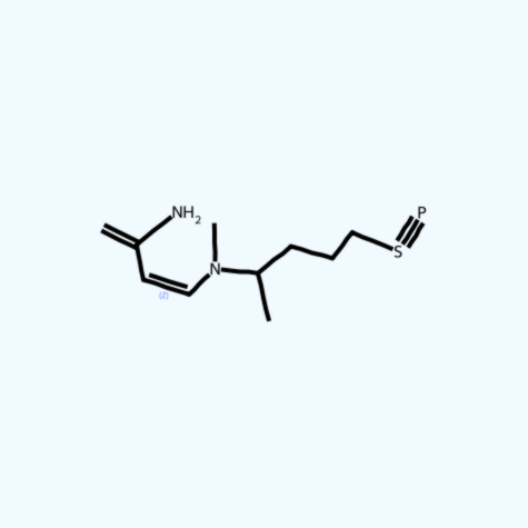 C=C(N)/C=C\N(C)C(C)CCCS#P